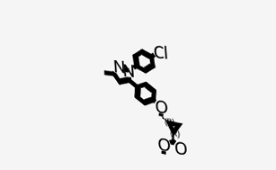 COC(=O)[C@@H]1C[C@H]1COc1ccc(-c2cc(C)nn2-c2ccc(Cl)cc2)cc1